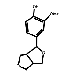 COc1cc(C2OCC3[CH]OCC32)ccc1O